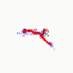 C[C@H](O)CC(=O)N[C@H](C)C(=O)N[C@@H](CCCCn1cc(C[C@H](NC(=O)CC[C@H](NC(=O)c2ccc(NCc3cnc4nc(N)[nH]c(=O)c4n3)cc2)C(=O)O)C(N)=O)nn1)C(=O)NCCOCCOCCOCC(=O)NCC(N)=O